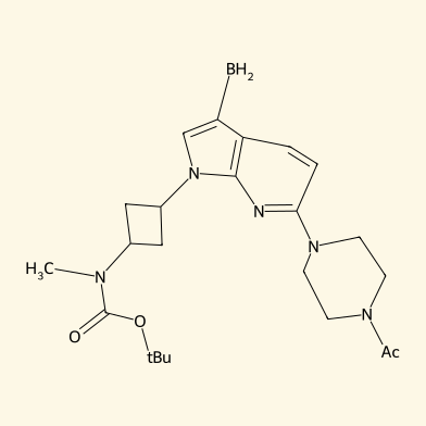 Bc1cn(C2CC(N(C)C(=O)OC(C)(C)C)C2)c2nc(N3CCN(C(C)=O)CC3)ccc12